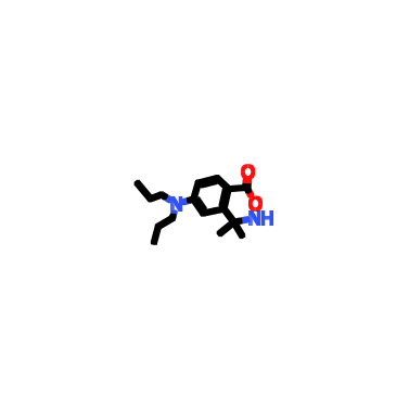 CCCN(CCC)c1ccc2c(c1)C(C)(C)NOC2=O